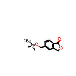 CC(C)(C)[Si](C)(C)OCc1ccc2c(c1)COC2=O